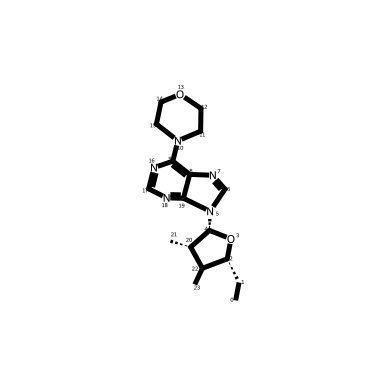 CC[C@H]1O[C@@H](n2cnc3c(N4CCOCC4)ncnc32)[C@@H](C)C1C